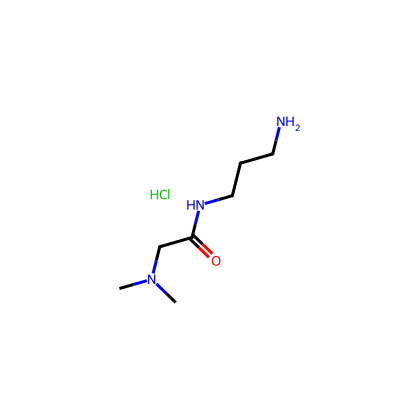 CN(C)CC(=O)NCCCN.Cl